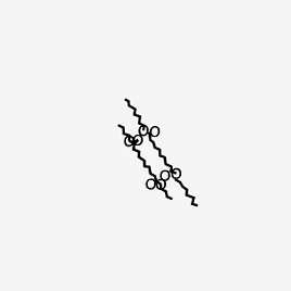 CCCCCCCCOC(=O)CCCCCCCCC(=O)OCCCCCCCC.CCCCOC(=O)CCCCCCCCC(=O)OCCCC